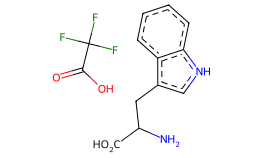 NC(Cc1c[nH]c2ccccc12)C(=O)O.O=C(O)C(F)(F)F